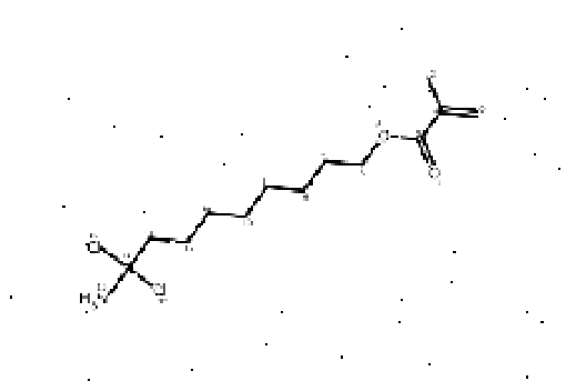 C=C(C)C(=O)OCCCCCCCCC([SiH3])(Cl)Cl